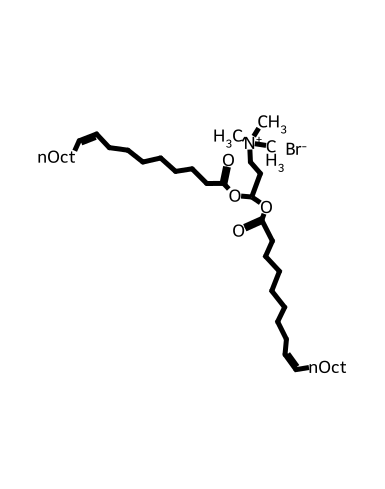 CCCCCCCC/C=C\CCCCCCCC(=O)OC(CC[N+](C)(C)C)OC(=O)CCCCCCC/C=C\CCCCCCCC.[Br-]